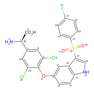 N[C@@H](C(=O)O)c1cc(Cl)c(Oc2ccc3[nH]cc(S(=O)(=O)c4ccc(F)cc4)c3c2)c(Cl)c1